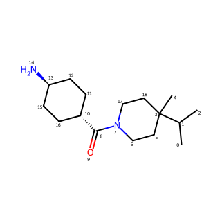 CC(C)C1(C)CCN(C(=O)[C@H]2CC[C@H](N)CC2)CC1